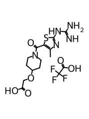 Cc1nc(NC(=N)N)sc1C(=O)N1CCC(OCC(=O)O)CC1.O=C(O)C(F)(F)F